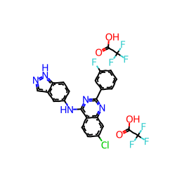 Fc1cccc(-c2nc(Nc3ccc4[nH]ncc4c3)c3ccc(Cl)cc3n2)c1.O=C(O)C(F)(F)F.O=C(O)C(F)(F)F